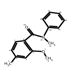 COc1cc(C)ccc1C(=O)N(C)c1ccccc1